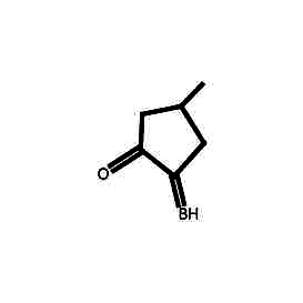 B=C1CC(C)CC1=O